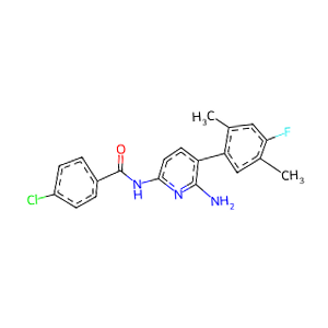 Cc1cc(-c2ccc(NC(=O)c3ccc(Cl)cc3)nc2N)c(C)cc1F